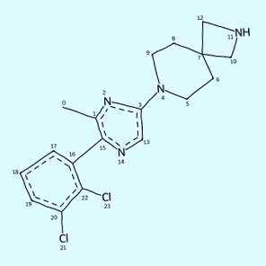 Cc1nc(N2CCC3(CC2)CNC3)cnc1-c1cccc(Cl)c1Cl